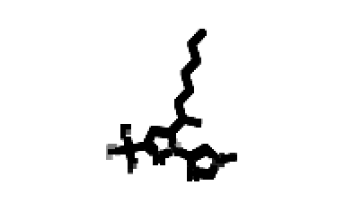 CCCCCCC(C)c1cc(C(F)(F)F)nn1-c1cn(C)cn1